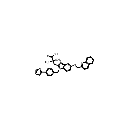 CC(C)(Cc1nc2cc(OCc3ccc4ccccc4n3)ccc2n1Cc1ccc(-c2cscn2)cc1)C(=O)O